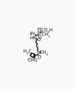 CC1=CC2CC1C(C(=O)N(C)CCCCCC(=O)NC(C(=O)N[C@@H](C)C(=O)O)C(C)C)C2C=O